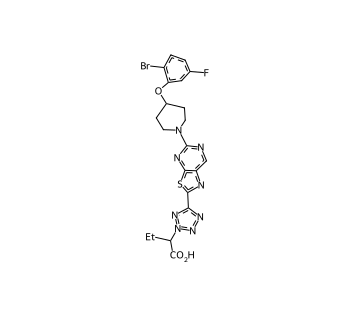 CCC(C(=O)O)n1nnc(-c2nc3cnc(N4CCC(Oc5cc(F)ccc5Br)CC4)nc3s2)n1